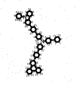 c1ccc(-c2ccc(N(c3ccc(-c4ccc(-c5ccc6c7ccccc7c7ccccc7c6c5)cc4)cc3)c3ccc(-c4ccc(-c5ccc6c(c5)c5ccccc5n6-c5ccccc5)cc4)cc3)cc2)cc1